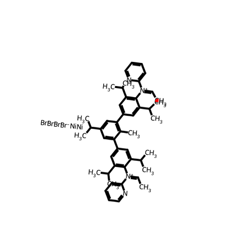 CC=[N+](c1ccccn1)c1c(C(C)C)cc(-c2cc(C(C)C)cc(-c3cc(C(C)C)c([N+](=CC)c4ccccn4)c(C(C)C)c3)c2C)cc1C(C)C.[Br-].[Br-].[Br-].[Br-].[Ni].[Ni]